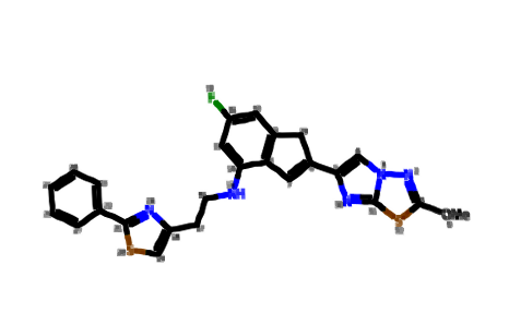 COc1nn2cc(C3=Cc4c(cc(F)cc4NCCc4csc(-c5ccccc5)n4)C3)nc2s1